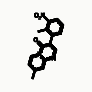 Cc1ccn2c(=O)c(-c3cccc([N+](=O)[O-])c3C)cnc2c1